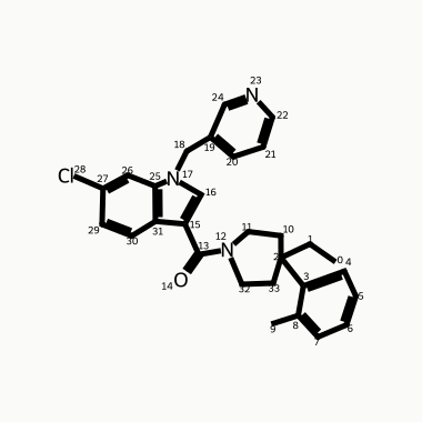 CCC1(c2ccccc2C)CCN(C(=O)c2cn(Cc3cccnc3)c3cc(Cl)ccc23)CC1